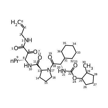 C=CCNC(=O)C(=O)[C@@H](CCC)NC(=O)[C@@H]1CCCN1C(=O)[C@@H](NC(=O)OC1CCCC1C)C1CCCCC1